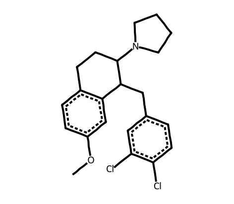 COc1ccc2c(c1)C(Cc1ccc(Cl)c(Cl)c1)C(N1CCCC1)CC2